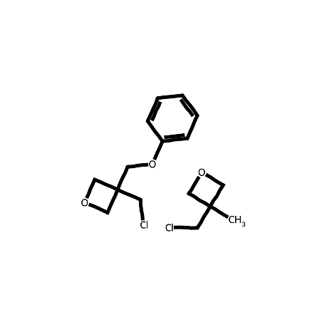 CC1(CCl)COC1.ClCC1(COc2ccccc2)COC1